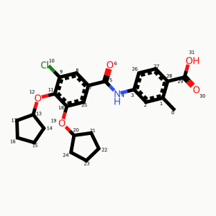 Cc1cc(NC(=O)c2cc(Cl)c(OC3CCCC3)c(OC3CCCC3)c2)ccc1C(=O)O